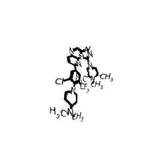 C[C@@H]1CN(c2nnc3cnc4ccc(-c5cc(Cl)c(N6CCC(N(C)C)CC6)c(C(F)(F)F)c5)nc4n23)C[C@H](C)N1C